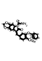 COc1ccc(/C=C2\C(=O)N(C(N)=O)c3cc4c(cc32)OCO4)cc1OC1CC2CCC1C2